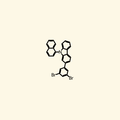 Brc1cc(Br)cc(-c2ccc3c4ccccc4n(-c4cccc5ccccc45)c3c2)c1